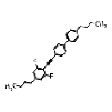 CCCCc1ccc(-c2ccc(C#Cc3c(F)cc(CCCC)cc3F)cc2)cc1